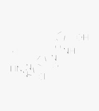 O=C(CN1Cc2ccc(-c3nc(NC4CCOCC4)ncc3Cl)cc2C1=O)N[C@H](CCO)c1ccccc1